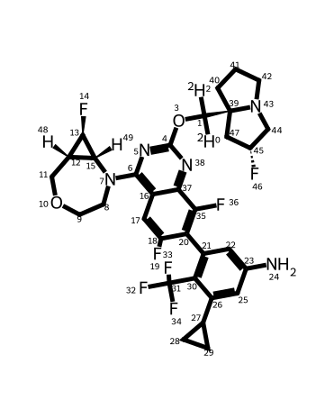 [2H]C([2H])(Oc1nc(N2CCOC[C@@H]3[C@@H](F)[C@@H]32)c2cc(F)c(-c3cc(N)cc(C4CC4)c3C(F)(F)F)c(F)c2n1)[C@@]12CCCN1C[C@H](F)C2